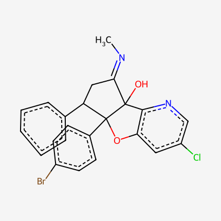 C/N=C1\CC(c2ccccc2)C2(c3ccc(Br)cc3)Oc3cc(Cl)cnc3C12O